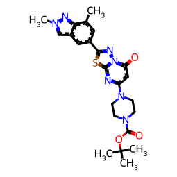 Cc1cc(-c2nn3c(=O)cc(N4CCN(C(=O)OC(C)(C)C)CC4)nc3s2)cc2cn(C)nc12